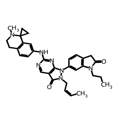 C/C=C\Cn1c(=O)c2cnc(Nc3ccc4c(c3)C3(CC3)N(C)CC4)nc2n1-c1ccc2c(c1)N(CCC)C(=O)C2